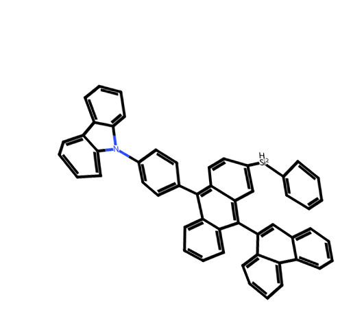 c1ccc([SiH2]c2ccc3c(-c4ccc(-n5c6ccccc6c6ccccc65)cc4)c4ccccc4c(-c4cc5ccccc5c5ccccc45)c3c2)cc1